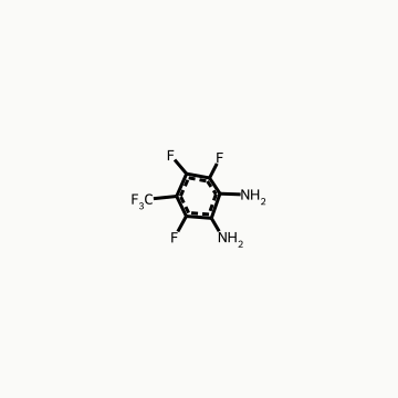 Nc1c(N)c(F)c(C(F)(F)F)c(F)c1F